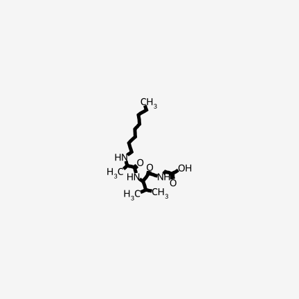 CCCCCCCCNC(C)C(=O)NC(C(=O)NCC(=O)O)C(C)C